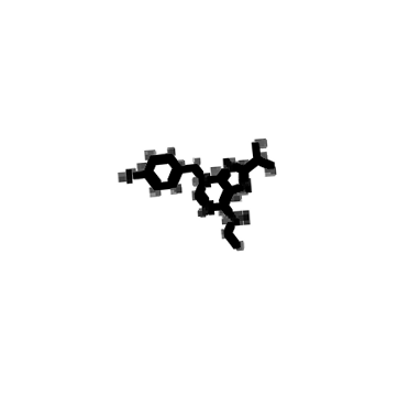 CCNc1ncn(Cc2ccc(F)cc2)c2nc(C(C)C)nc1-2